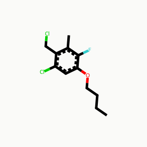 CCCCOc1cc(Cl)c(CCl)c(C)c1F